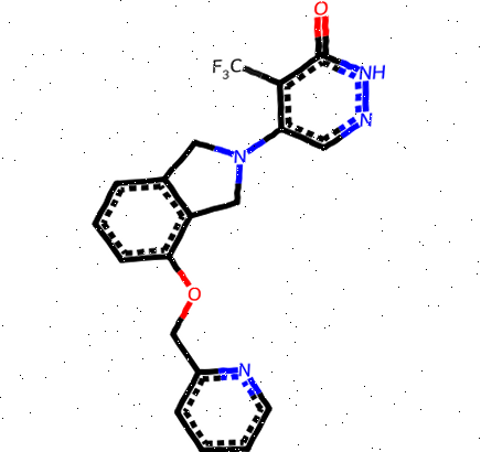 O=c1[nH]ncc(N2Cc3cccc(OCc4ccccn4)c3C2)c1C(F)(F)F